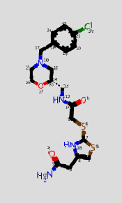 NC(=O)CC1=CSC(SCC(=O)NC[C@H]2CN(Cc3ccc(Cl)cc3)CCO2)N1